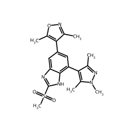 Cc1noc(C)c1-c1cc(-c2c(C)nn(C)c2C)c2[nH]c(S(C)(=O)=O)nc2c1